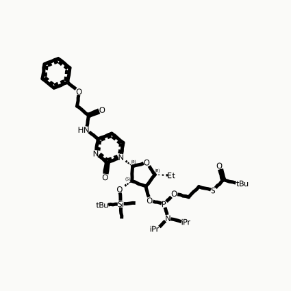 CC[C@H]1O[C@@H](n2ccc(NC(=O)COc3ccccc3)nc2=O)[C@@H](O[Si](C)(C)C(C)(C)C)C1OP(OCCSC(=O)C(C)(C)C)N(C(C)C)C(C)C